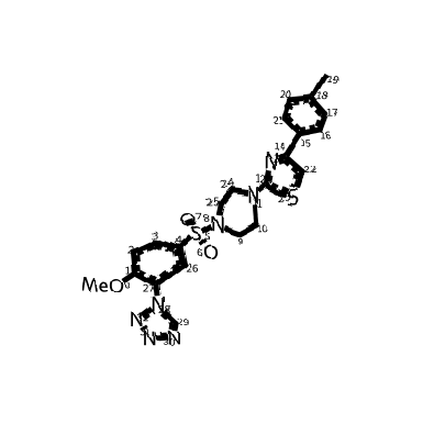 COc1ccc(S(=O)(=O)N2CCN(c3nc(-c4ccc(C)cc4)cs3)CC2)cc1-n1cnnn1